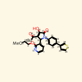 COCCOc1ncccc1C1C(C(=O)C(C)(C)C)=C(O)C(=O)N1c1ccc(-c2ccsc2)cc1